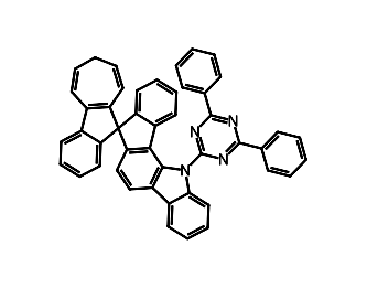 C1=CC2=C(C=CC1)C1(c3ccccc32)c2ccccc2-c2c1ccc1c3ccccc3n(-c3nc(-c4ccccc4)nc(-c4ccccc4)n3)c21